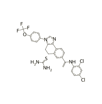 C=C(Nc1ccc(Cl)cc1Cl)c1ccc2c(c1)CCc1c-2ncn1-c1ccc(OC(F)(F)F)cc1.NC(N)=S